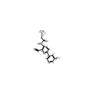 COCC(=O)Nc1ccc(-c2cncc(F)c2)nc1C#N